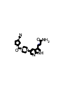 N#C[C@@H]1CC[C@@H](C(=O)N2CCN(c3cnc4[nH]cc(/C=C/C(N)=O)c4c3)CC2)C1